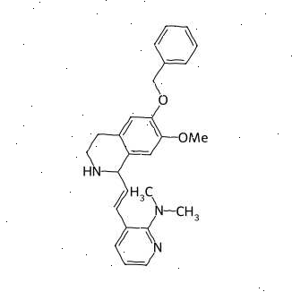 COc1cc2c(cc1OCc1ccccc1)CCNC2C=Cc1cccnc1N(C)C